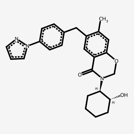 Cc1cc2c(cc1Cc1ccc(-n3cccn3)cc1)C(=O)N([C@@H]1CCCC[C@H]1O)CO2